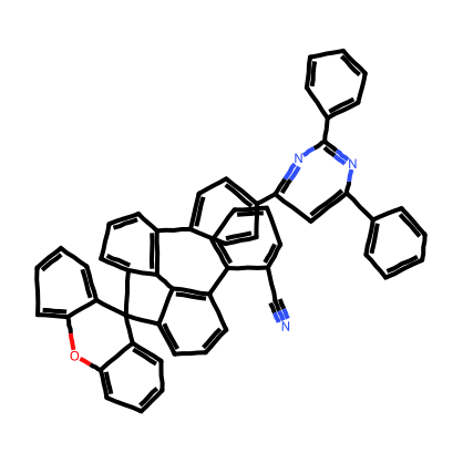 N#Cc1ccccc1-c1cccc2c1-c1c(-c3ccc(-c4cc(-c5ccccc5)nc(-c5ccccc5)n4)cc3)cccc1C21c2ccccc2Oc2ccccc21